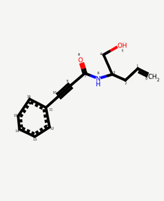 C=CCC(CO)NC(=O)C#Cc1ccccc1